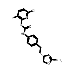 NC1=N[C@@H](CCc2ccc(NC(=O)Oc3nc(Cl)ccc3F)cc2)CO1